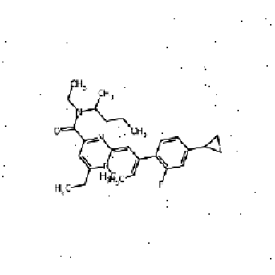 C/C=C(\C=C1\N=C(C(=O)N(CC)C(C)CCC)C=C(CC)N1C)c1ccc(C2CC2)cc1F